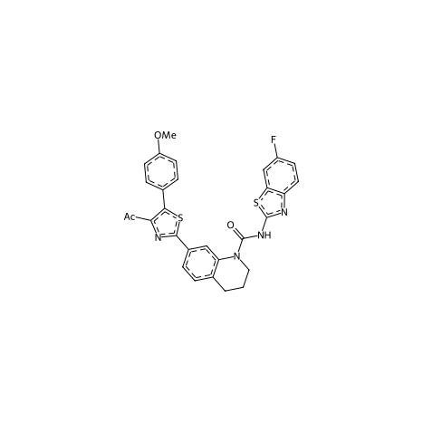 COc1ccc(-c2sc(-c3ccc4c(c3)N(C(=O)Nc3nc5ccc(F)cc5s3)CCC4)nc2C(C)=O)cc1